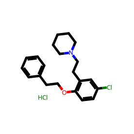 Cl.Clc1ccc(OCCc2ccccc2)c(CCN2CCCCC2)c1